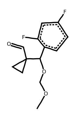 COCOC(c1ccc(F)cc1F)C1(C=O)CC1